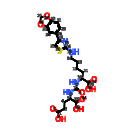 O=C(O)CCC(NC(=O)N[C@@H](CCCCNc1nc(-c2ccc3c(c2)OCO3)cs1)C(=O)O)C(=O)O